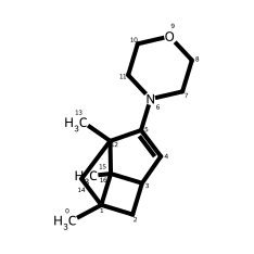 CC12CC3C=C(N4CCOCC4)C(C)(C1)C32C